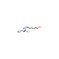 CN1C=CN(CCCCCCO)C1.Cl